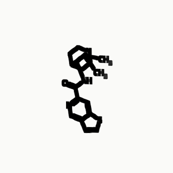 CC1(C)C(NC(=O)c2cc3sccc3cn2)C2CCN1CC2